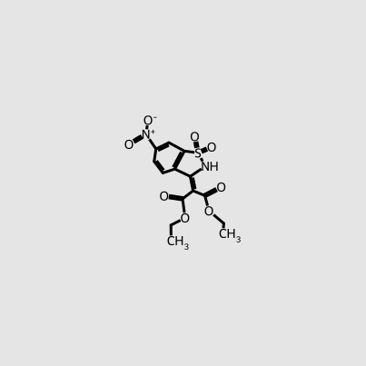 CCOC(=O)C(C(=O)OCC)=C1NS(=O)(=O)c2cc([N+](=O)[O-])ccc21